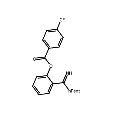 CCCCCC(=N)c1ccccc1OC(=O)c1ccc(C(F)(F)F)cc1